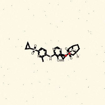 COc1c(Nc2ccc(S(=O)(=O)C3CC3)nc2C)ncnc1O[C@H]1CC2CC[C@@H](C1)N2S(=O)(=O)C1CC1